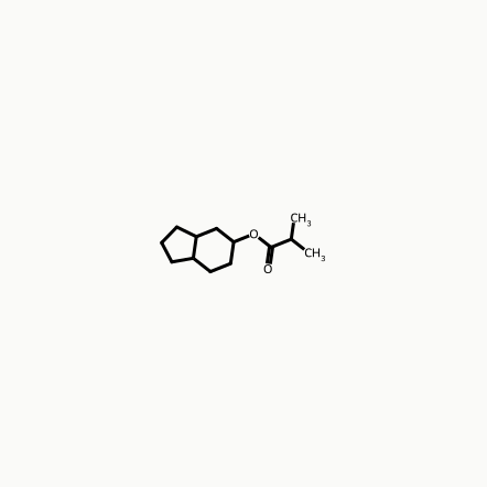 CC(C)C(=O)OC1CCC2CCCC2C1